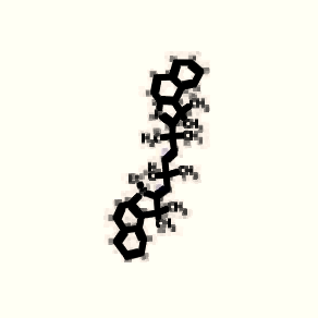 CCN1/C(=C\C(C)(C)/C=C/C(C)(C)C2=Nc3ccc4ccccc4c3C2(C)C)C(C)(C)c2c1ccc1ccccc21